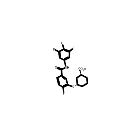 O=C(Nc1cc(F)c(F)c(F)c1)c1ccc(F)c(S[C@H]2CCC[C@H](C(=O)O)C2)c1